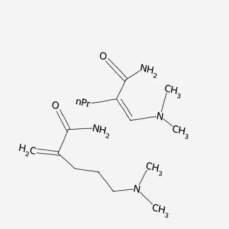 C=C(CCCN(C)C)C(N)=O.CCCC(=CN(C)C)C(N)=O